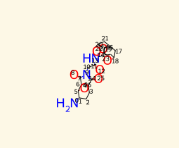 NC1CC2OC1C1C(=O)N(CC(=O)NC34OC5CC(CC(C5)O3)O4)C(=O)C21